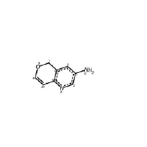 Nc1cnc2c(c1)COC=C2